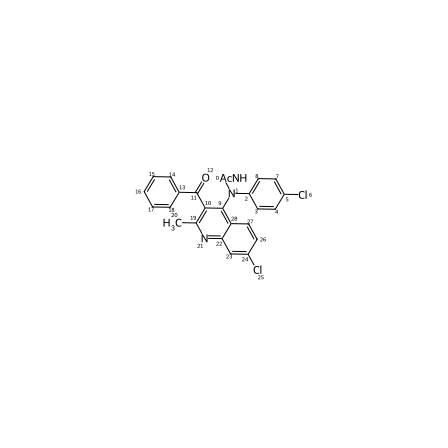 CC(=O)NN(c1ccc(Cl)cc1)c1c(C(=O)c2ccccc2)c(C)nc2cc(Cl)ccc12